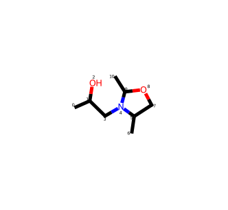 CC(O)CN1C(C)COC1C